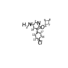 Nc1cnc(OC2CCC2)c(-c2ccc(Cl)cc2)c1